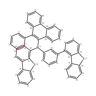 c1ccc(-c2c(N(c3cccc(-c4cccc5sc6ccccc6c45)c3)c3cccc4c3sc3ccccc34)c3ccccc3c3ccccc23)cc1